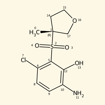 C[C@@]1(S(=O)(=O)c2c(Cl)ccc(N)c2O)CCOC1